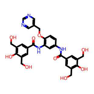 O=C(Nc1ccc(OCc2cncnc2)c(NC(=O)c2cc(CO)c(O)c(CO)c2)c1)c1cc(CO)c(O)c(CO)c1